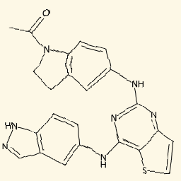 CC(=O)N1CCc2cc(Nc3nc(Nc4ccc5[nH]ncc5c4)c4sccc4n3)ccc21